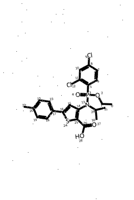 CCOP(=O)(c1ccc(Cl)cc1Cl)N(c1cc(-c2ccc(C)cc2)sc1C(=O)O)C(C)C